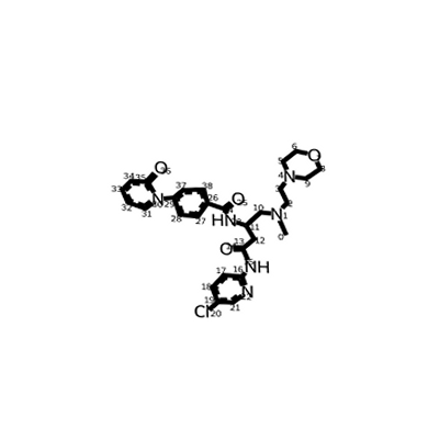 CN(CCN1CCOCC1)CC(CC(=O)Nc1ccc(Cl)cn1)NC(=O)c1ccc(-n2ccccc2=O)cc1